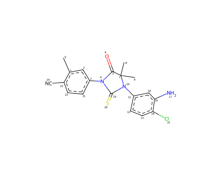 Cc1cc(N2C(=O)C(C)(C)N(c3ccc(Cl)c(N)c3)C2=S)ccc1C#N